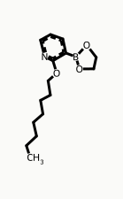 CCCCCCCCOc1ncccc1B1OCCO1